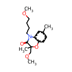 COCCCCN1C(=O)C(C)(COC)Oc2ccc(C)cc21